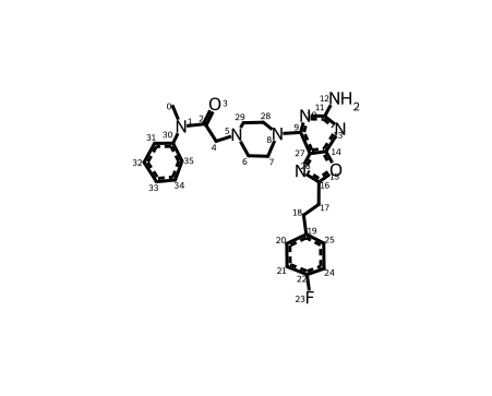 CN(C(=O)CN1CCN(c2nc(N)nc3oc(CCc4ccc(F)cc4)nc23)CC1)c1ccccc1